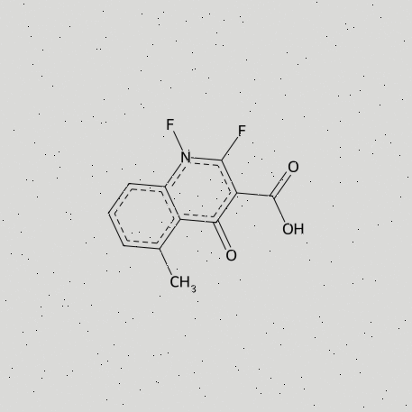 Cc1cccc2c1c(=O)c(C(=O)O)c(F)n2F